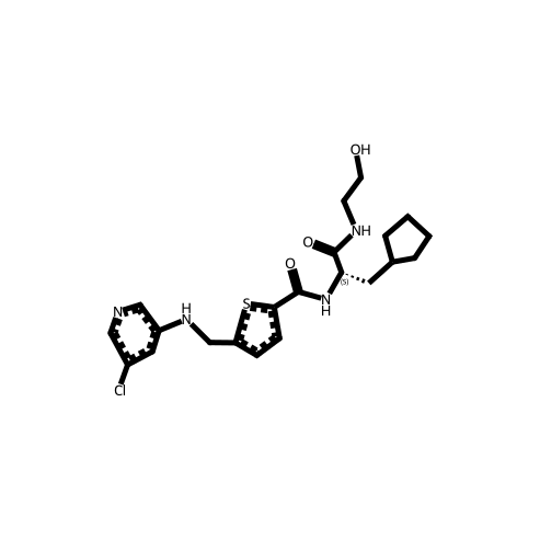 O=C(N[C@@H](CC1CCCC1)C(=O)NCCO)c1ccc(CNc2cncc(Cl)c2)s1